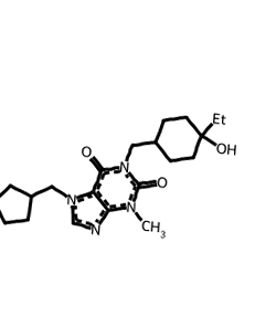 CCC1(O)CCC(Cn2c(=O)c3c(ncn3CC3CCCC3)n(C)c2=O)CC1